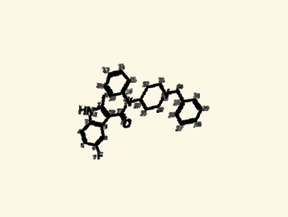 Cc1[nH]c2ccc(F)cc2c1C(=O)N(c1ccccc1)C1CCN(Cc2ccccc2)CC1